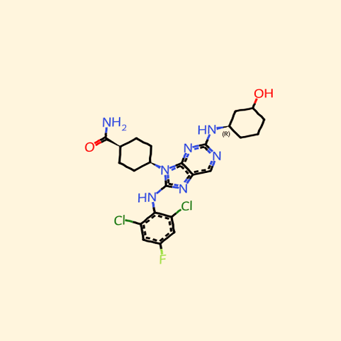 NC(=O)[C@H]1CC[C@@H](n2c(Nc3c(Cl)cc(F)cc3Cl)nc3cnc(N[C@@H]4CCCC(O)C4)nc32)CC1